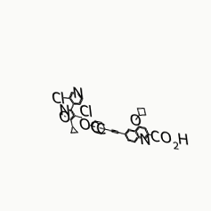 O=C(O)c1cc(OC2CCC2)c2cc(C#CC34CCC(OCc5c(-c6c(Cl)cncc6Cl)noc5C5CC5)(CC3)CC4)ccc2n1